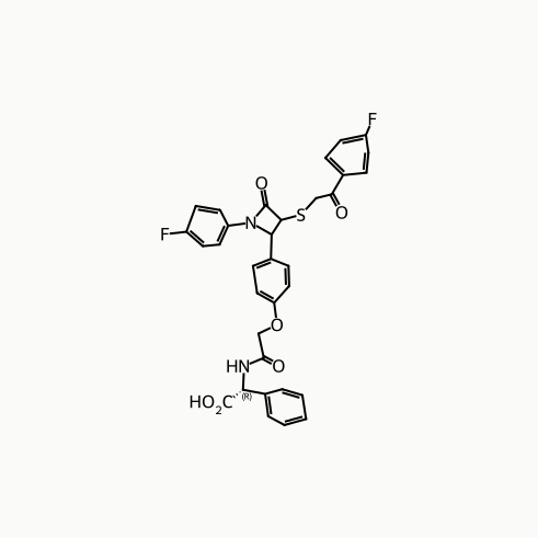 O=C(COc1ccc(C2C(SCC(=O)c3ccc(F)cc3)C(=O)N2c2ccc(F)cc2)cc1)N[C@@H](C(=O)O)c1ccccc1